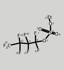 CCOS(=O)(=O)OC(F)(F)C(F)(F)C(F)(F)C(F)(F)F